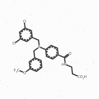 O=C(O)CCNC(=O)c1ccc(N(Cc2cc(Cl)cc(Cl)c2)Cc2cccc(OC(F)(F)F)c2)cc1